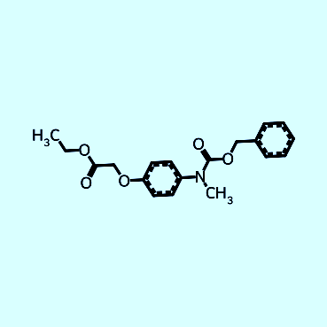 CCOC(=O)COc1ccc(N(C)C(=O)OCc2ccccc2)cc1